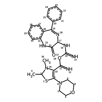 CC1SC(N2CCOCC2)=C(C(=N)OC(=N)NC2N=C(c3ccccc3)c3ccccc3NC2=O)N1C